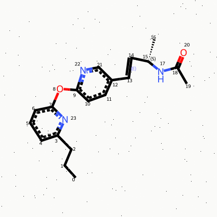 CCCc1cccc(Oc2ccc(/C=C/[C@H](C)NC(C)=O)cn2)n1